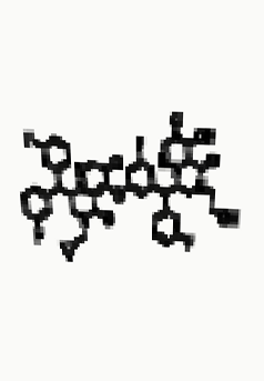 O=C1c2c(O)c(=O)cnn2C(C(c2cccc(F)c2)c2cc(F)cc(Oc3c4n(ncc3=O)C(C(c3cccc(F)c3)c3cccc(F)c3)CN(CC3CC3)C4=O)c2)CN1CCO